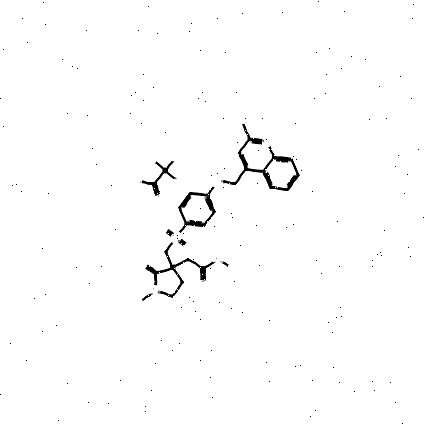 Cc1cc(COc2ccc(S(=O)(=O)CC3(CC(=O)NO)CCN(C)C3=O)cc2)c2ccccc2n1.O=C(O)C(F)(F)F